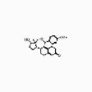 CSc1ccc(C2OCC3(C)C(O)CCC3C3CCC4=CC(=O)CCC4=C23)cc1